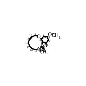 COc1ccc2c(c1)OCC=CCCCCN(C)S2(=O)=O